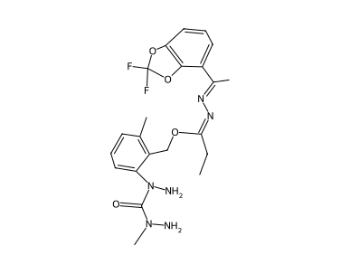 CCC(=NN=C(C)c1cccc2c1OC(F)(F)O2)OCc1c(C)cccc1N(N)C(=O)N(C)N